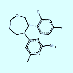 Cc1cc(N2CCCOC[C@@H]2c2ccc(F)cc2F)nc(N)n1